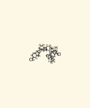 CC(C)(C)[Si](C)(C)OCC1C(Cl)NC(CN2CCC(C3C=CC=C(OCC4CCC(Cl)CC4F)N3)CC2)N1C[C@@H]1CCO1